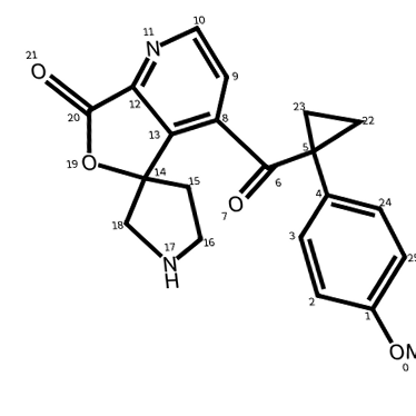 COc1ccc(C2(C(=O)c3ccnc4c3C3(CCNC3)OC4=O)CC2)cc1